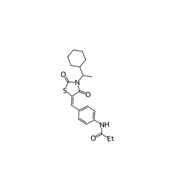 CCC(=O)Nc1ccc(C=C2SC(=O)N(C(C)C3CCCCC3)C2=O)cc1